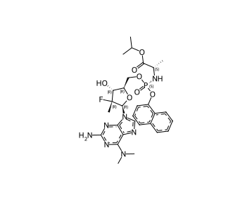 CC(C)OC(=O)[C@H](C)N[P@](=O)(OC[C@H]1O[C@@H](n2cnc3c(N(C)C)nc(N)nc32)[C@](C)(F)[C@@H]1O)Oc1cccc2ccccc12